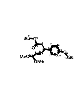 COC(/C=N/[C@@H](CC(=O)OC(C)(C)C)c1ccc(OC(C)(C)C)nc1)OC